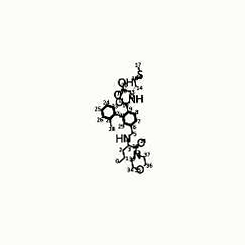 CCCC(NCc1ccc(C(=O)N[C@@H](CCSC)C(=O)O)c(-c2ccccc2C)c1)C(=O)N1CCOCC1